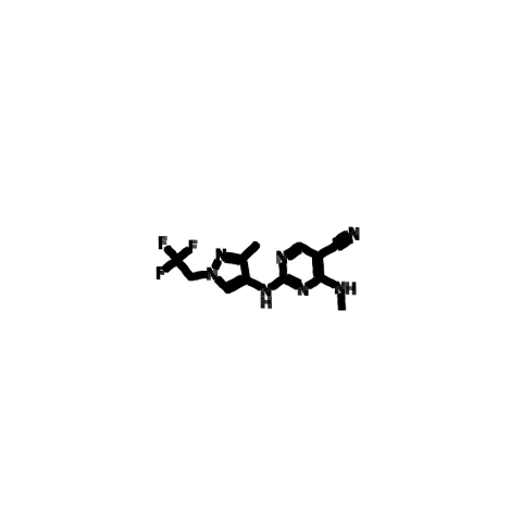 CNc1nc(Nc2cn(CC(F)(F)F)nc2C)ncc1C#N